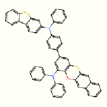 c1ccc(N(c2ccc(-c3cc4c(c(N(c5ccccc5)c5ccccc5)c3)Oc3cc5ccccc5cc3S4)cc2)c2ccc3c(c2)sc2ccccc23)cc1